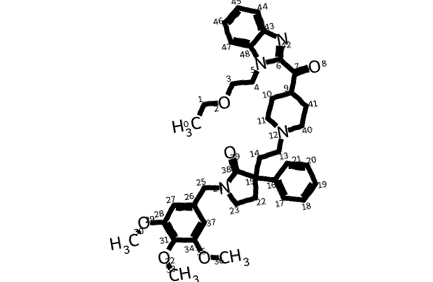 CCOCCn1c(C(=O)C2CCN(CCC3(c4ccccc4)CCN(Cc4cc(OC)c(OC)c(OC)c4)C3=O)CC2)nc2ccccc21